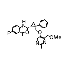 COCc1nc(C)ncc1OC[C@@]1(c2ccccc2)C[C@H]1C(=O)Nc1ccc(F)cc1F